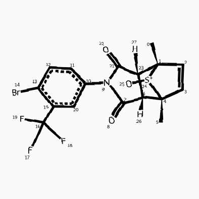 C[C@]12C=C[C@](C)([C@@H]3C(=O)N(c4ccc(Br)c(C(F)(F)F)c4)C(=O)[C@@H]31)[S+]2[O-]